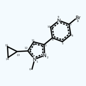 Cn1nc(-c2ccc(Br)nc2)cc1C1CC1